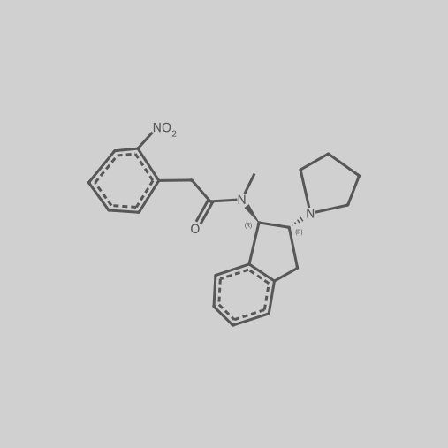 CN(C(=O)Cc1ccccc1[N+](=O)[O-])[C@@H]1c2ccccc2C[C@H]1N1CCCC1